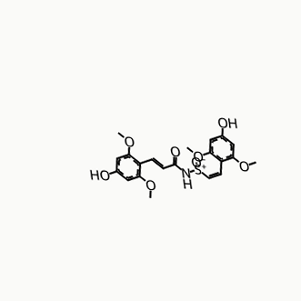 COc1cc(O)cc(OC)c1/C=C\[S+]([O-])NC(=O)/C=C/c1c(OC)cc(O)cc1OC